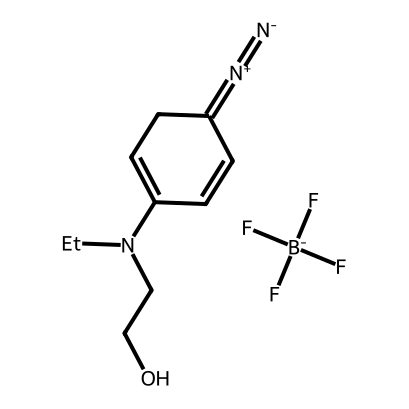 CCN(CCO)C1=CCC(=[N+]=[N-])C=C1.F[B-](F)(F)F